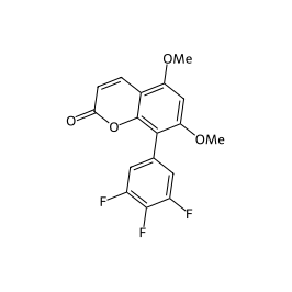 COc1cc(OC)c2ccc(=O)oc2c1-c1cc(F)c(F)c(F)c1